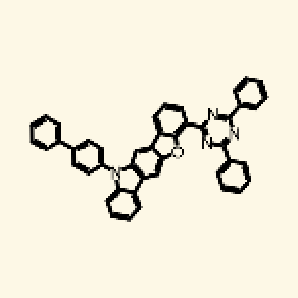 c1ccc(-c2ccc(-n3c4ccccc4c4cc5oc6c(-c7nc(-c8ccccc8)nc(-c8ccccc8)n7)cccc6c5cc43)cc2)cc1